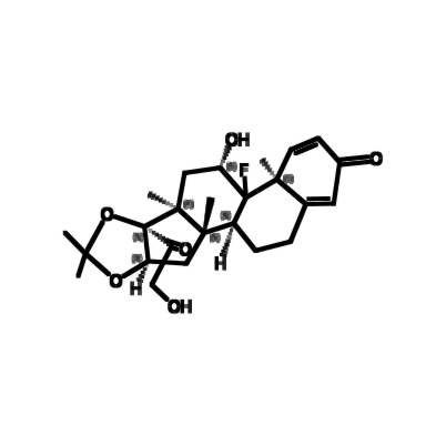 CC1(C)O[C@@H]2C[C@@]3(C)[C@@H]4CCC5=CC(=O)C=C[C@]5(C)C4(F)[C@@H](O)C[C@]3(C)[C@]2(C(=O)CO)O1